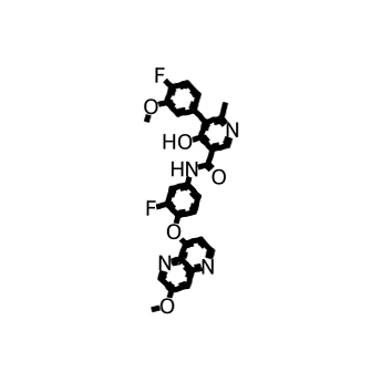 COc1cnc2c(Oc3ccc(NC(=O)c4cnc(C)c(-c5ccc(F)c(OC)c5)c4O)cc3F)ccnc2c1